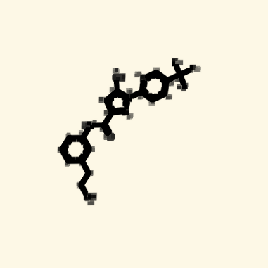 O=C(Nc1cccc(CCO)c1)c1cc(O)n(-c2ccc(C(F)(F)F)cn2)n1